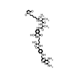 CC(NC(=O)C(NC(=O)CCCCCN1C(=O)C=CC1=O)C(C)C)C(=O)Nc1ccc(C(=O)O)c(C(=O)NCCCC(NC(=O)c2ccc(NCc3cnc4nc(N)nc(N)c4n3)cc2)C(=O)O)c1